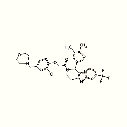 Cc1ccc(C2c3c(nc4cc(C(F)(F)F)ccn34)CCN2C(=O)COc2ccc(CN3CCOCC3)cc2Cl)cc1C